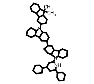 CC1(C)C2CCCCC2C2CC(N3C4CCCCC4C4CC(C5CCC6C(C5)C5CCCCC5N6C5CC(C6CCCCC6)CC(C6CCCCC6)N5)CCC43)CCC21